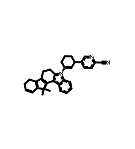 CC1(C)C2=C(CCC=C2)C2=C1c1c(n(C3=CC(c4ccc(C#N)nc4)CCC3)c3ccccc13)CC2